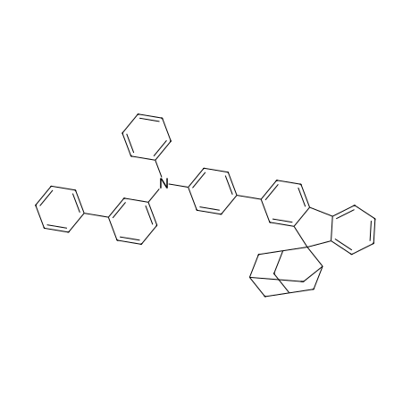 c1ccc(-c2cccc(N(c3ccccc3)c3ccc(-c4ccc5c(c4)C4(c6ccccc6-5)C5CC6CC(C5)CC4C6)cc3)c2)cc1